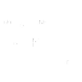 CCCOC(=O)NC(=N)c1cc[c]c(F)c1